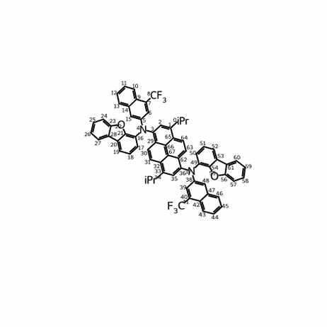 CC(C)c1cc(N(c2cc(C(F)(F)F)c3ccccc3c2)c2cccc3c2oc2ccccc23)c2ccc3c(C(C)C)cc(N(c4cc(C(F)(F)F)c5ccccc5c4)c4cccc5c4oc4ccccc45)c4ccc1c2c34